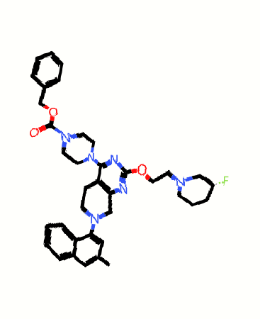 Cc1cc(N2CCc3c(nc(OCCN4CCC[C@@H](F)C4)nc3N3CCN(C(=O)OCc4ccccc4)CC3)C2)c2ccccc2c1